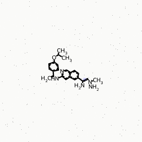 C=C(Nc1cc2cc(/C(N)=C/N(C)N)ccc2cn1)c1ccc(OC(C)C)cc1